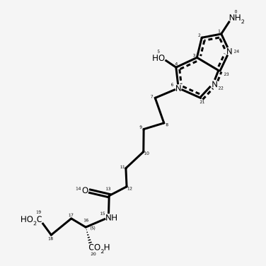 Nc1cc2c(O)n(CCCCCCC(=O)N[C@@H](CCC(=O)O)C(=O)O)cnc-2n1